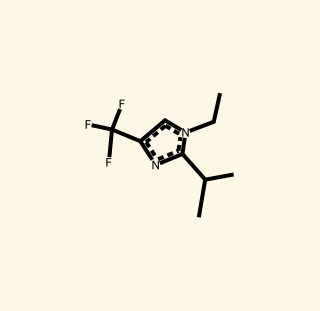 CCn1cc(C(F)(F)F)nc1C(C)C